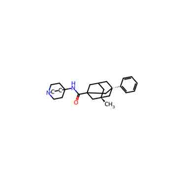 C[C@]12CC3CC(C(=O)NC45CCN(CC4)CC5)(C1)C[C@@](c1ccccc1)(C3)C2